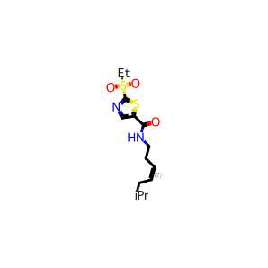 CCS(=O)(=O)c1ncc(C(=O)NCC/C=C\CC(C)C)s1